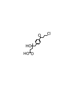 CC(O)(CCC(=O)O)Cc1ccc(C(=O)CCCCl)cc1